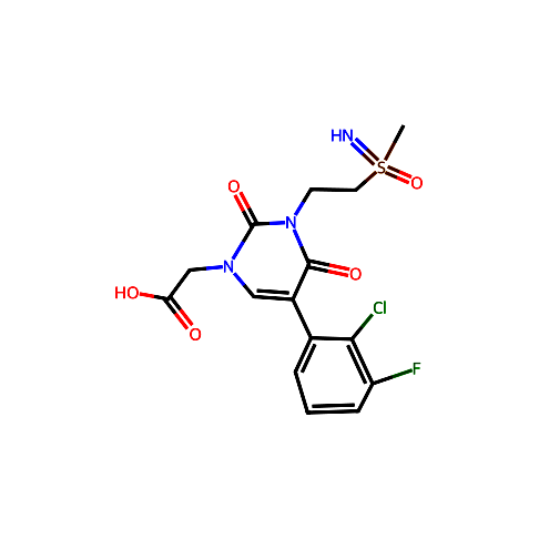 CS(=N)(=O)CCn1c(=O)c(-c2cccc(F)c2Cl)cn(CC(=O)O)c1=O